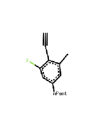 C#Cc1c(C)cc(CCCCC)cc1F